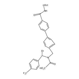 CCCCCCCCNC(=O)c1ccc(-c2ccc(CN(C(=O)C(=O)O)C(CC)c3ccc(C(F)(F)F)cc3)cc2)cc1